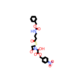 O=C(NCCCC(=O)S[C@@H]1CC(=O)N1C(O)C(=O)OCc1ccc([N+](=O)[O-])cc1)OCc1ccccc1